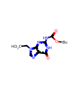 CC(C)(C)OC(=O)Nc1nc2c(ncn2CC(=O)O)c(=O)[nH]1